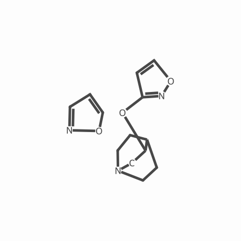 c1cc(OC2CN3CCC2CC3)no1.c1cnoc1